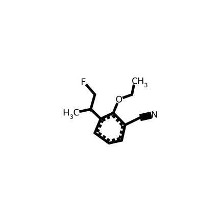 CCOc1c(C#N)cccc1[C](C)CF